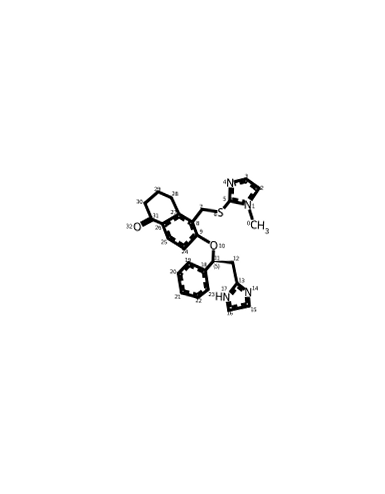 Cn1ccnc1SCc1c(O[C@@H](Cc2ncc[nH]2)c2ccccc2)ccc2c1CCCC2=O